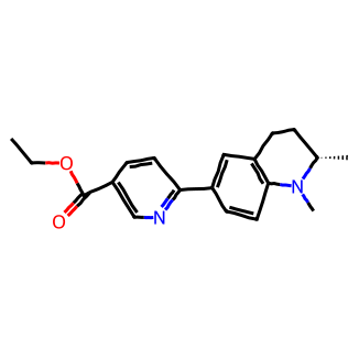 CCOC(=O)c1ccc(-c2ccc3c(c2)CC[C@H](C)N3C)nc1